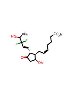 CCCCC(O)C(F)(F)/C=C/[C@H]1C(=O)C[C@H](O)[C@@H]1C/C=C\CCCC(=O)O